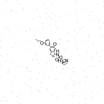 CCCOc1cccc(-c2cc3c(cc2OC)C(NC(=O)O[C@H]2CN4CCC2CC4)C(C)(C)C3)c1